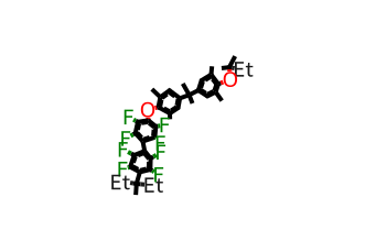 CCC(C)(C)Oc1c(C)cc(C(C)(C)c2cc(C)c(Oc3c(F)c(F)c(-c4c(F)c(F)c(C(C)(CC)CC)c(F)c4F)c(F)c3F)c(C)c2)cc1C